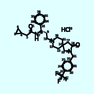 Cl.O=C(CC1CC1)N[C@@H](CCN1CCC2(CC1)CC(=O)N(Cc1ccc(C(F)(F)F)cc1)C2)c1ccccc1